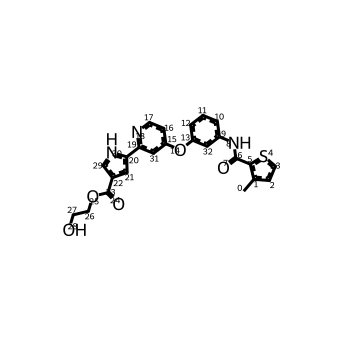 Cc1ccsc1C(=O)Nc1cccc(Oc2ccnc(-c3cc(C(=O)OCCO)c[nH]3)c2)c1